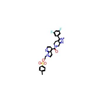 Cc1ccc(S(=O)(=O)OCCn2ccc3c(C(=O)N4CCc5c(nn(C)c5-c5cc(F)cc(F)c5)C4)ccnc32)cc1